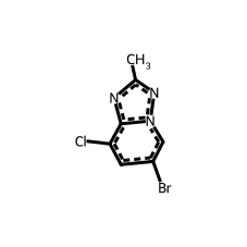 Cc1nc2c(Cl)cc(Br)cn2n1